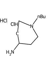 CCCCN1CCC(N)CC1.Cl.Cl